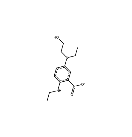 CCNc1ccc(N(CC)CCO)cc1[N+](=O)[O-]